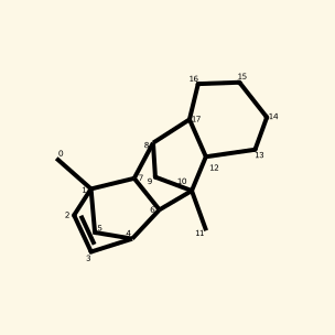 CC12C=CC(C1)C1C2C2CC1(C)C1CCCCC21